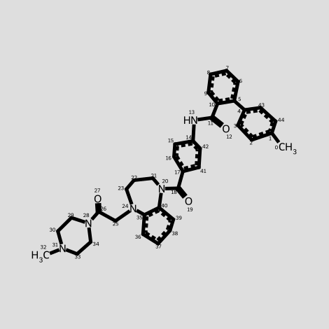 Cc1ccc(-c2ccccc2C(=O)Nc2ccc(C(=O)N3CCCN(CC(=O)N4CCN(C)CC4)c4ccccc43)cc2)cc1